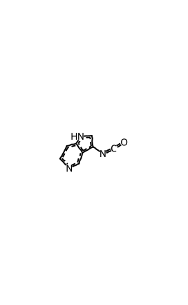 O=C=Nc1c[nH]c2ccncc12